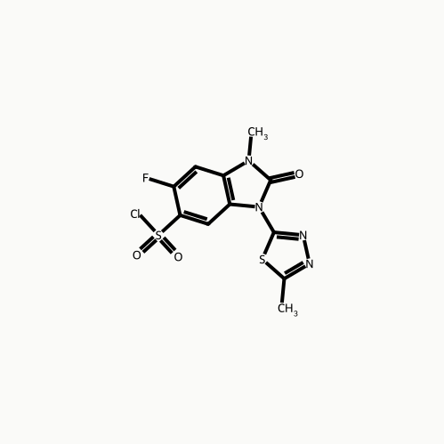 Cc1nnc(-n2c(=O)n(C)c3cc(F)c(S(=O)(=O)Cl)cc32)s1